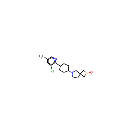 [O-][S+]1CC2(CCN(C3CCC(c4ncc(C(F)(F)F)cc4Cl)CC3)C2)C1